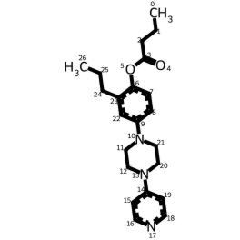 CCCC(=O)Oc1ccc(N2CCN(c3ccncc3)CC2)cc1CCC